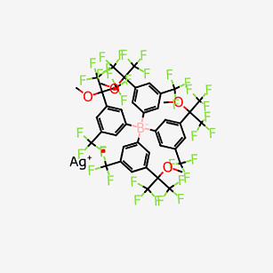 COC(c1cc([B-](c2cc(C(F)(F)F)cc(C(OC)(C(F)(F)F)C(F)(F)F)c2)(c2cc(C(F)(F)F)cc(C(OC)(C(F)(F)F)C(F)(F)F)c2)c2cc(C(F)(F)F)cc(C(OC)(C(F)(F)F)C(F)(F)F)c2)cc(C(F)(F)F)c1)(C(F)(F)F)C(F)(F)F.[Ag+]